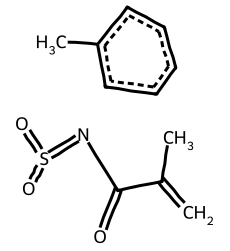 C=C(C)C(=O)N=S(=O)=O.Cc1ccccc1